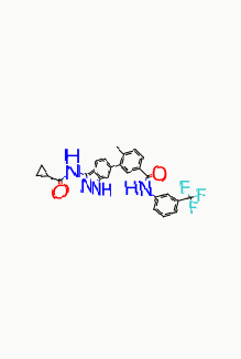 Cc1ccc(C(=O)Nc2cccc(C(F)(F)F)c2)cc1-c1ccc2c(NC(=O)C3CC3)n[nH]c2c1